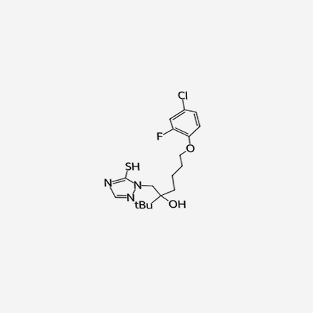 CC(C)(C)C(O)(CCCCOc1ccc(Cl)cc1F)Cn1ncnc1S